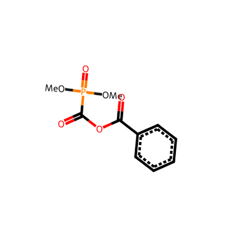 COP(=O)(OC)C(=O)OC(=O)c1ccccc1